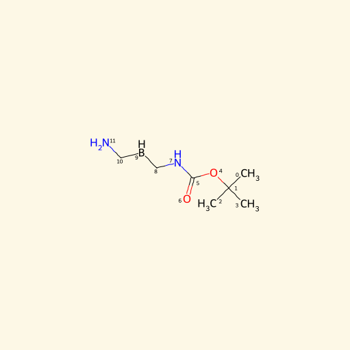 CC(C)(C)OC(=O)NCBCN